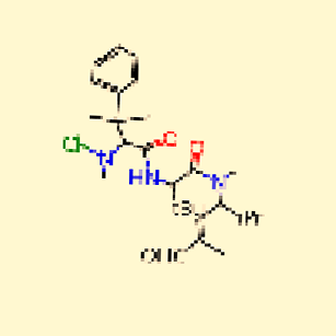 C/C(C=O)=C\C(C(C)C)N(C)C(=O)C(NC(=O)C(N(C)Cl)C(C)(C)c1ccccc1)C(C)(C)C